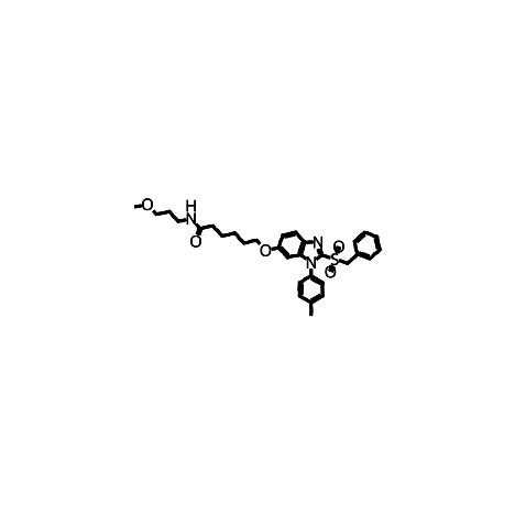 COCCCNC(=O)CCCCCOc1ccc2nc(S(=O)(=O)Cc3ccccc3)n(-c3ccc(C)cc3)c2c1